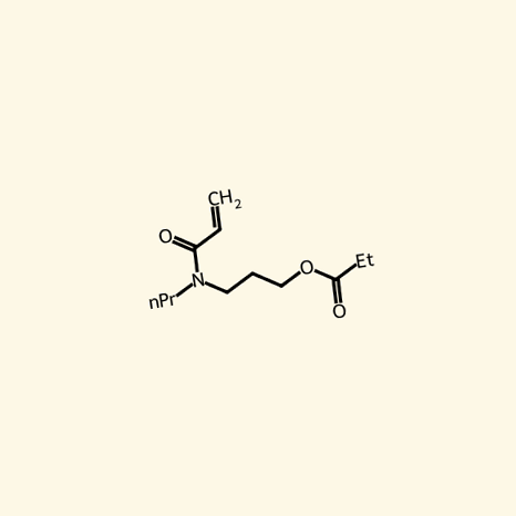 C=CC(=O)N(CCC)CCCOC(=O)CC